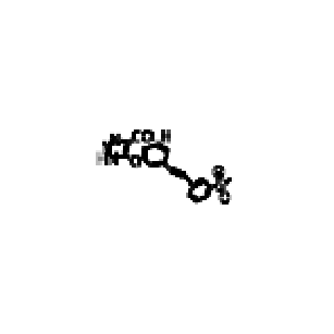 CS(=O)(=O)c1cccc(C#Cc2cccc(Oc3[nH]nnc3C(=O)O)c2)c1